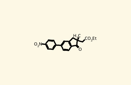 CCOC(=O)CC1(C)Cc2cc(-c3ccc([N+](=O)[O-])cc3)ccc2C1=O